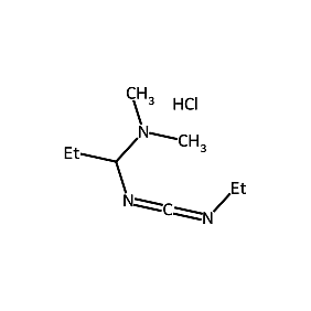 CCN=C=NC(CC)N(C)C.Cl